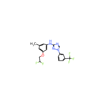 Cc1cc(Nc2ncn(-c3cccc(C(F)(F)F)c3)n2)cc(OCC(F)F)c1